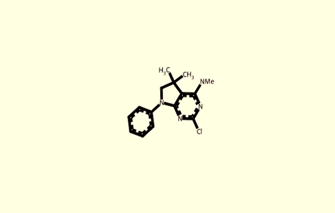 CNc1nc(Cl)nc2c1C(C)(C)CN2c1ccccc1